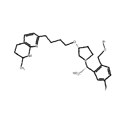 CC1CCc2ccc(CCCCO[C@@H]3CCN([C@@H](C(=O)O)c4cc(F)ccc4COC(C)C)C3)nc2N1